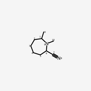 CC1CCCCC(C#N)N1C